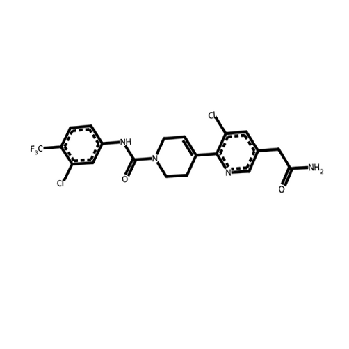 NC(=O)Cc1cnc(C2=CCN(C(=O)Nc3ccc(C(F)(F)F)c(Cl)c3)CC2)c(Cl)c1